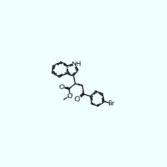 COC(=O)C(CC(=O)c1ccc(Br)cc1)c1c[nH]c2ccccc12